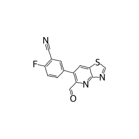 N#Cc1cc(-c2cc3scnc3nc2C=O)ccc1F